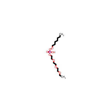 CCCCCCCOOP(=O)(O)OCCOCCOCCOCC